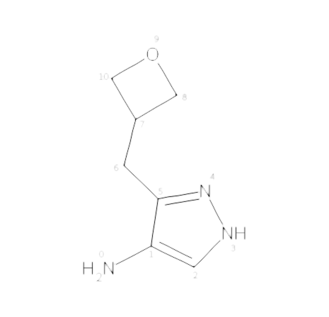 Nc1c[nH]nc1CC1COC1